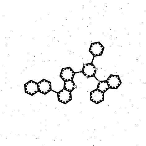 c1ccc(-c2nc(-c3cccc4c3oc3cccc(-c5ccc6ccccc6c5)c34)nc(-n3c4ccccc4c4ccccc43)n2)cc1